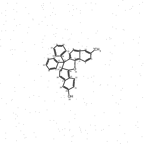 Cc1ccc2c3c(ccc2c1)C(c1ccccc1)(c1ccccc1)c1ccc2cc(O)ccc2c1O3